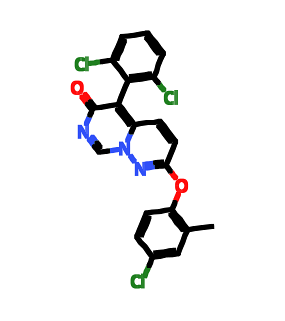 Cc1cc(Cl)ccc1Oc1ccc2c(-c3c(Cl)cccc3Cl)c(=O)ncn2n1